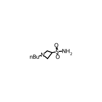 CCCCN1CC(S(N)(=O)=O)C1